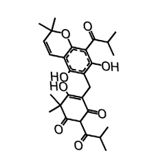 CC(C)C(=O)c1c(O)c(CC2=C(O)C(C)(C)C(=O)C(C(=O)C(C)C)C2=O)c(O)c2c1OC(C)(C)C=C2